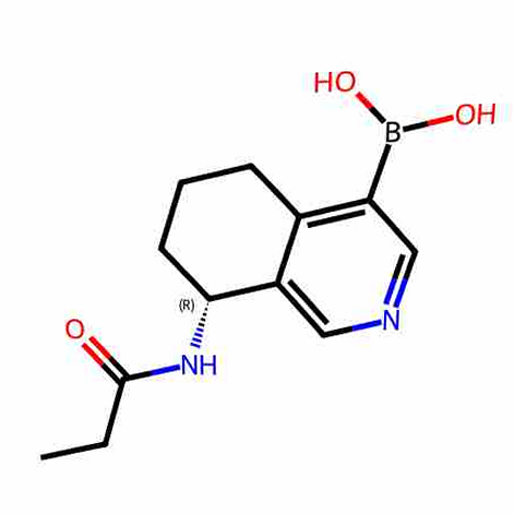 CCC(=O)N[C@@H]1CCCc2c(B(O)O)cncc21